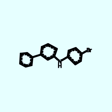 Brc1ccc(Nc2cccc(-c3ccccc3)c2)cc1